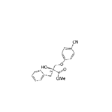 COC(=O)[C@@](O)(COc1ccc(C#N)cc1)Cc1ccccc1